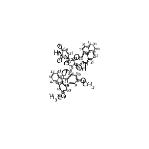 COc1ccc(C(OC[C@@H]2O[C@H](n3ccc(=O)[nH]c3=O)C(Oc3ccc4ccc5cccc6ccc3c4c56)C2O)(c2ccccc2)c2ccc(OC)cc2)cc1